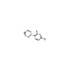 Cc1cc(Cl)ccc1-c1ccncn1